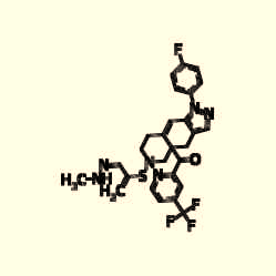 C=C(/C=N\NC)SN1CCC2=Cc3c(cnn3-c3ccc(F)cc3)CC2(C(=O)c2cc(C(F)(F)F)ccn2)C1